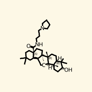 CC1(C)CC[C@]2(C(=O)NCCCN3CCCC3)CC[C@]3(C)C(=C2C1)CC[C@@H]1[C@@]2(C)CC[C@H](O)C(C)(C)[C@@H]2CC[C@]13C